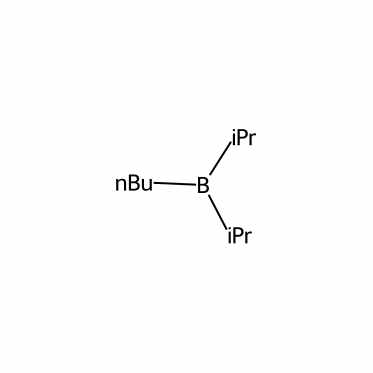 CCCCB(C(C)C)C(C)C